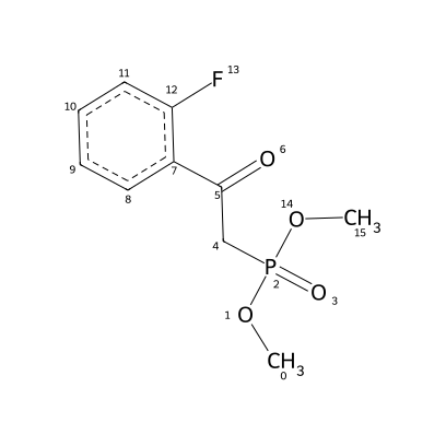 COP(=O)(CC(=O)c1ccccc1F)OC